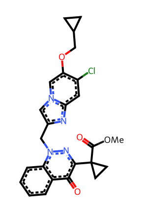 COC(=O)C1(c2nn(Cc3cn4cc(OCC5CC5)c(Cl)cc4n3)c3ccccc3c2=O)CC1